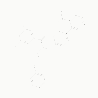 O=C(O)c1ccccc1-c1ccc(CN(CCCc2ccccc2)C(=O)c2cc(Cl)cc(Cl)c2)cc1